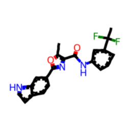 Cc1oc(-c2ccc3cc[nH]c3c2)nc1C(=O)Nc1cccc(C(C)(F)F)c1